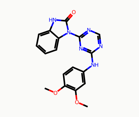 COc1ccc(Nc2ncnc(-n3c(=O)[nH]c4ccccc43)n2)cc1OC